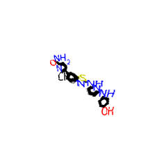 Cc1nc(C(N)=O)ccc1-c1ccc2nc(Nc3cccc(N[C@H]4CC[C@H](O)CC4)n3)sc2c1